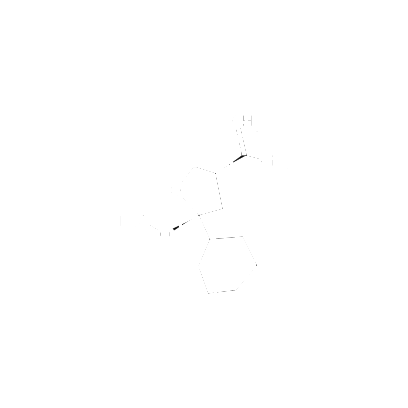 C=C(C)[C@@H]1CO[C@@](OC)(C2CCCCC2)C1